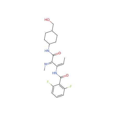 C/C=C(NC(=O)c1c(F)cccc1F)\C(=N/C)C(=O)NC1CCC(CO)CC1